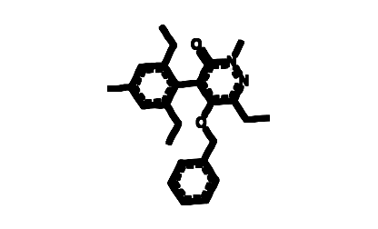 CCc1cc(C)cc(CC)c1-c1c(OCc2ccccc2)c(CC)nn(C)c1=O